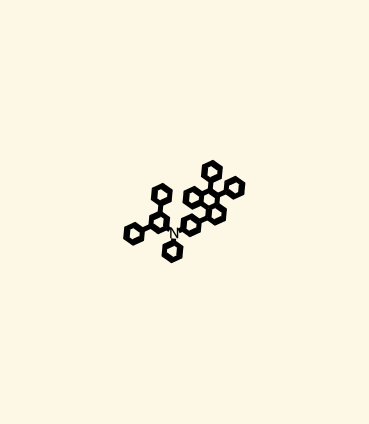 c1ccc(-c2cc(-c3ccccc3)cc(N(c3ccccc3)c3ccc(-c4cccc5c(-c6ccccc6)c(-c6ccccc6)c6ccccc6c45)cc3)c2)cc1